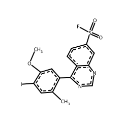 COc1cc(-c2ncnc3cc(S(=O)(=O)F)ccc23)c(C)cc1I